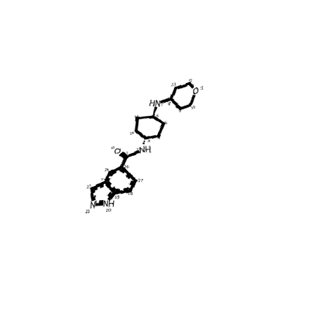 O=C(N[C@H]1CC[C@H](NC2CCOCC2)CC1)c1ccc2[nH]ncc2c1